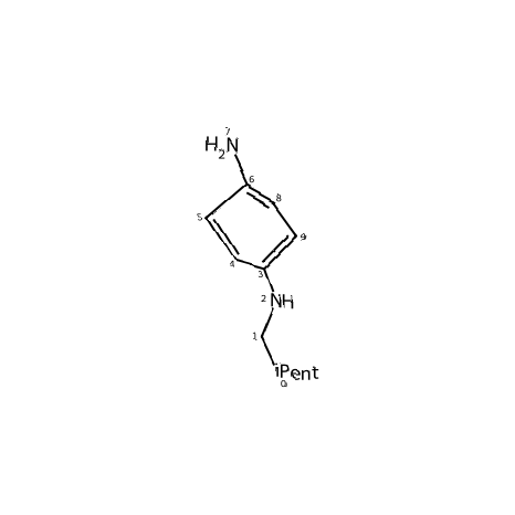 CCCC(C)CNc1ccc(N)cc1